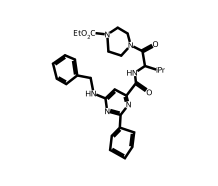 CCOC(=O)N1CCN(C(=O)C(NC(=O)c2cc(NCc3ccccc3)nc(-c3ccccc3)n2)C(C)C)CC1